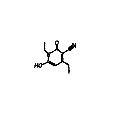 CCc1cc(O)n(CC)c(=O)c1C#N